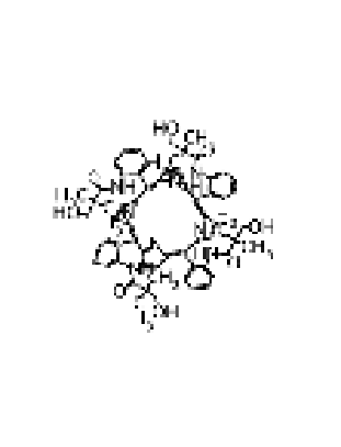 CC(C)(CO)C(=O)Nc1ccccc1C1=C2C=CC(=N2)C(c2ccccc2NC(=O)C(C)(C)CO)=C2C=CC(=N2)C(c2ccccc2NC(=O)C(C)(C)CO)=C2C=CC(=N2)C(c2ccccc2NC(=O)C(C)(C)CO)=C2C=CC1=N2